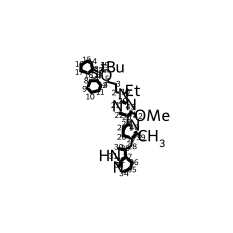 CCN(CCCO[Si](c1ccccc1)(c1ccccc1)C(C)(C)C)c1ncc(-c2ccc(Cc3c[nH]c4ncccc34)c(C)n2)c(OC)n1